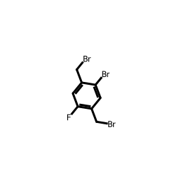 Fc1cc(CBr)c(Br)cc1CBr